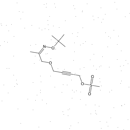 CC(COCC#CCOS(C)(=O)=O)=NOC(C)(C)C